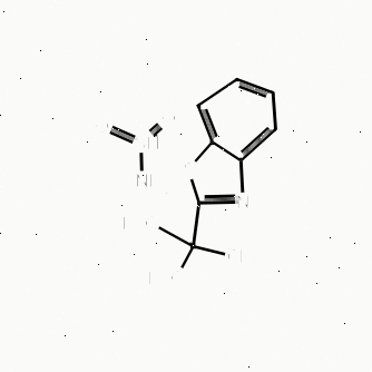 CC(C)(C)c1nc2ccccc2s1.N[SH](=O)=O